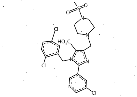 CS(=O)(=O)N1CCN(Cc2nc(-c3cncc(Cl)c3)n(Cc3cc(Cl)ccc3Cl)c2C(=O)O)CC1